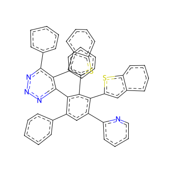 c1ccc(-c2cc(-c3ccccn3)c(-c3cc4ccccc4s3)c(-c3cc4ccccc4s3)c2-c2nnnc(-c3ccccc3)c2-c2ccccc2)cc1